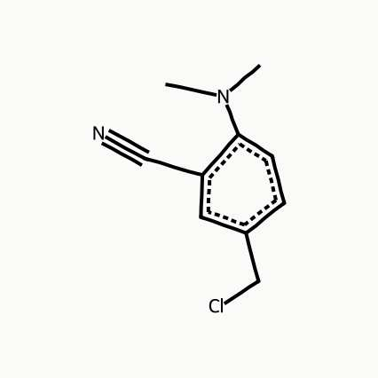 CN(C)c1ccc(CCl)cc1C#N